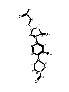 CC(=O)NC[C@H]1CN(c2ccc(N3CCN(C=O)NC3)c(F)c2)C(=O)O1